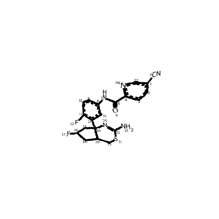 N#Cc1ccc(C(=O)Nc2ccc(F)c(C34CC(F)CC3CSC(N)=N4)c2)nc1